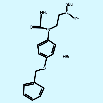 Br.CCCCN(CCN(C(N)=O)c1ccc(OCc2ccccc2)cc1)C(C)C